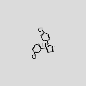 Clc1ccc([SH]2[C]=CC=C2c2cccc(Cl)c2)cc1